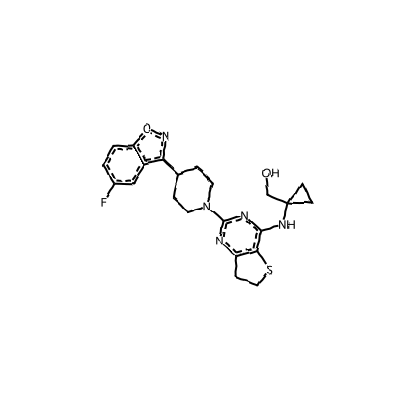 OCC1(Nc2nc(N3CCC(c4noc5ccc(F)cc45)CC3)nc3c2SCC3)CC1